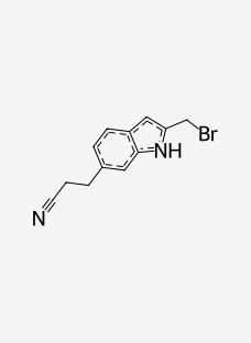 N#CCCc1ccc2cc(CBr)[nH]c2c1